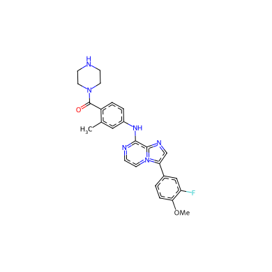 COc1ccc(-c2cnc3c(Nc4ccc(C(=O)N5CCNCC5)c(C)c4)nccn23)cc1F